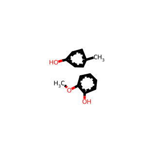 COc1ccccc1O.Cc1ccc(O)cc1